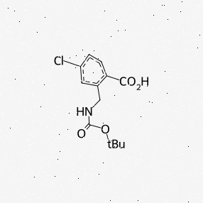 CC(C)(C)OC(=O)NCc1cc(Cl)ccc1C(=O)O